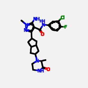 CC1C(=O)NCCN1C1CC2CC(c3nn(C)c(N)c3C(=O)Nc3ccc(F)c(Cl)c3)CC2C1